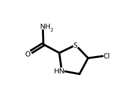 NC(=O)C1NCC(Cl)S1